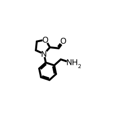 NCc1ccccc1N1CCOC1C=O